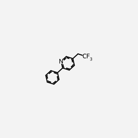 FC(F)(F)Cc1ccc(-c2ccccc2)nc1